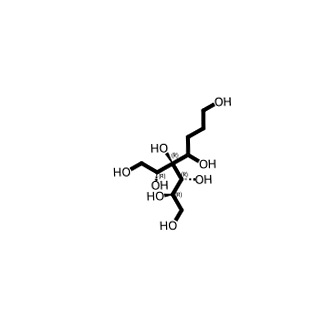 OCCCC(O)[C@@](O)([C@H](O)CO)[C@H](O)[C@H](O)CO